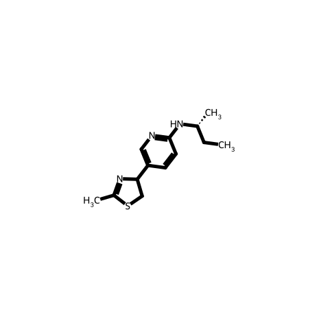 CC[C@@H](C)Nc1ccc(C2CSC(C)=N2)cn1